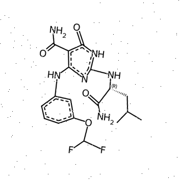 CC(C)C[C@@H](Nc1nc(Nc2cccc(OC(F)F)c2)c(C(N)=O)c(=O)[nH]1)C(N)=O